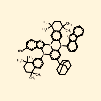 CC(C)(C)c1ccc2sc3c(c2c1)N(c1ccc2c(c1)C(C)(C)CCC2(C)C)c1cc(C24CC5CC(CC(C5)C2)C4)cc2c1B3c1cc3c(cc1N2c1cccc2c1oc1ccccc12)C(C)(C)CCC3(C)C